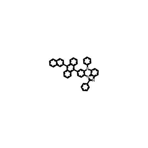 c1ccc(-c2nc3cccc4c3n2-c2ccc(-c3c5ccccc5c(-c5ccc6ccccc6c5)c5ccccc35)cc2N4c2ccccc2)cc1